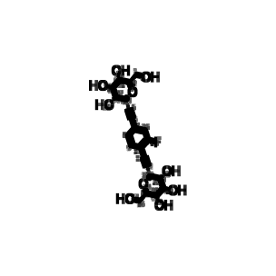 OC[C@H]1O[C@H](C#Cc2ccc(C#C[C@H]3O[C@H](CO)[C@@H](O)[C@H](O)[C@@H]3O)c(F)c2)[C@@H](O)[C@@H](O)[C@@H]1O